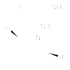 N[C@@H]1C[C@@H]2CC[C@H]([C@@H]1F)N2N